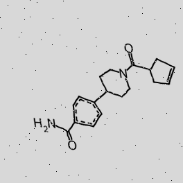 NC(=O)c1ccc(C2CCN(C(=O)C3CC=CC3)CC2)cc1